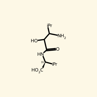 CC(C)C(N)C(O)C(=O)N[C@H](C(=O)O)C(C)C